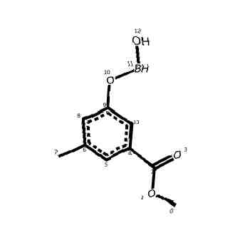 COC(=O)c1cc(C)cc(OBO)c1